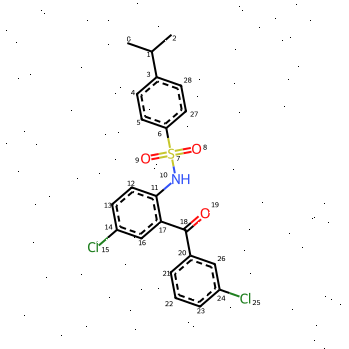 CC(C)c1ccc(S(=O)(=O)Nc2ccc(Cl)cc2C(=O)c2cccc(Cl)c2)cc1